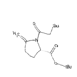 C=C1CC[C@@H](C(=O)OC(C)(C)C)N1C(=O)CC(C)(C)C